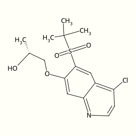 C[C@@H](O)COc1cc2nccc(Cl)c2cc1S(=O)(=O)C(C)(C)C